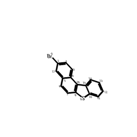 Brc1ccc2c(ccc3sc4ccccc4c32)c1